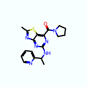 Cc1nc2nc(NC(C)c3ccccn3)nc(C(=O)N3CCCC3)c2s1